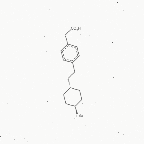 CCCC[C@H]1CC[C@H](CCc2ccc(CC(=O)O)cc2)CC1